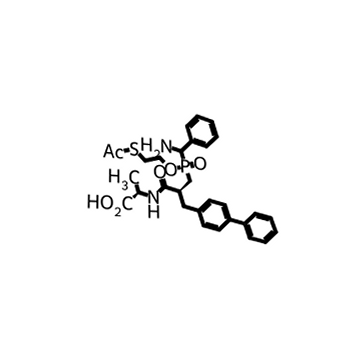 CC(=O)SCCOP(=O)(C[C@@H](Cc1ccc(-c2ccccc2)cc1)C(=O)N[C@H](C)C(=O)O)C(N)c1ccccc1